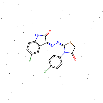 O=C1Nc2ccc(Cl)cc2C1=NN=C1SCC(=O)N1c1ccc(Cl)cc1